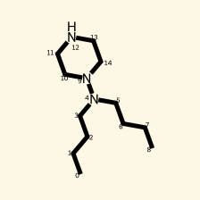 CCCCN(CCCC)N1CCNCC1